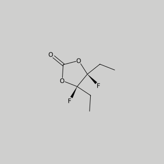 CC[C@@]1(F)OC(=O)O[C@@]1(F)CC